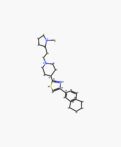 CN1CCCC1CCN1CCC(c2nc(-c3ccc4c(c3)CCCC4)cs2)CC1